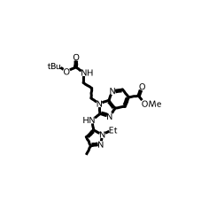 CCn1nc(C)cc1Nc1nc2cc(C(=O)OC)cnc2n1CCCNC(=O)OC(C)(C)C